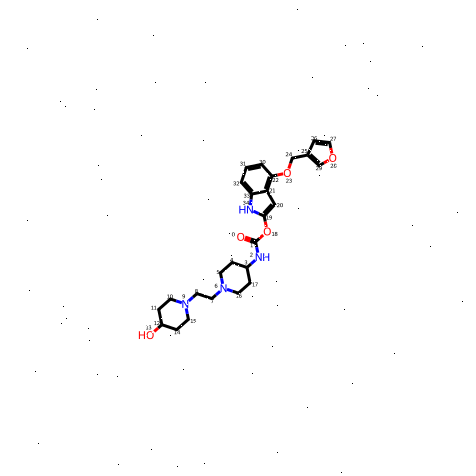 O=C(NC1CCN(CCN2CCC(O)CC2)CC1)Oc1cc2c(OCc3ccoc3)cccc2[nH]1